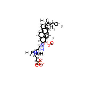 CCC[C@@H](C)[C@H]1CCC2C3CCC4CC(NCCC[N+](C)(C)CCCS(=O)(=O)[O-])CC[C@]4(C)C3CC[C@@]21C.O